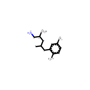 CC(Cc1cc(C(F)(F)F)ccc1C(F)(F)F)CC(CN)C(=O)O